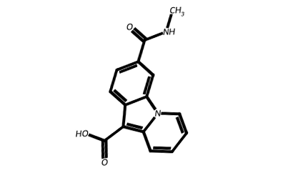 CNC(=O)c1ccc2c(C(=O)O)c3ccccn3c2c1